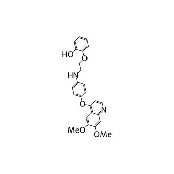 COc1cc2nccc(Oc3ccc(NCCOc4ccccc4O)cc3)c2cc1OC